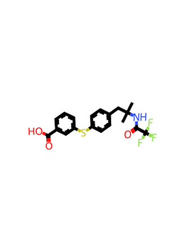 CC(C)(Cc1ccc(Sc2cccc(C(=O)O)c2)cc1)NC(=O)C(F)(F)F